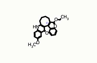 CCOC(=O)/C1=C(\c2ccccc2)c2c([nH]c3ccc(OC)cc3c2=O)CCCC1